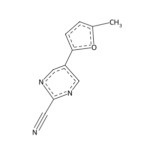 Cc1ccc(-c2cnc(C#N)nc2)o1